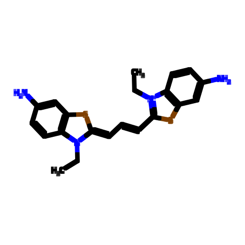 CCN1/C(=C/C=C/c2sc3cc(N)ccc3[n+]2CC)Sc2cc(N)ccc21